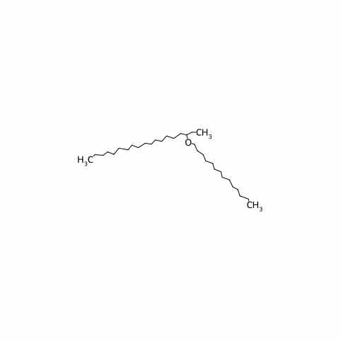 CCCCCCCCCCCCCCCCC(CC)OCCCCCCCCCCCCCC